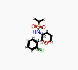 CC(C)S(=O)(=O)N[C@H]1CCCO[C@@H]1c1ccccc1Br